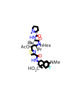 CCCCCCN(C(=O)[C@@H](NC(=O)[C@H]1CCCCN1C)[C@@H](C)CC)[C@H](C[C@@H](OC(C)=O)c1nc(C(=O)NC(Cc2ccc(F)c(NC)c2)CC(C)(C)C(=O)O)cs1)C(C)C